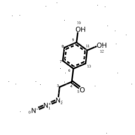 [N-]=[N+]=NCC(=O)c1ccc(O)c(O)c1